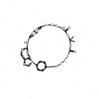 CC1(C)OC(=O)CCCOc2ccc(cc2)-n2cnc3cnc(nc32)Nc2ccc(cc2)CCCNC(=O)O1